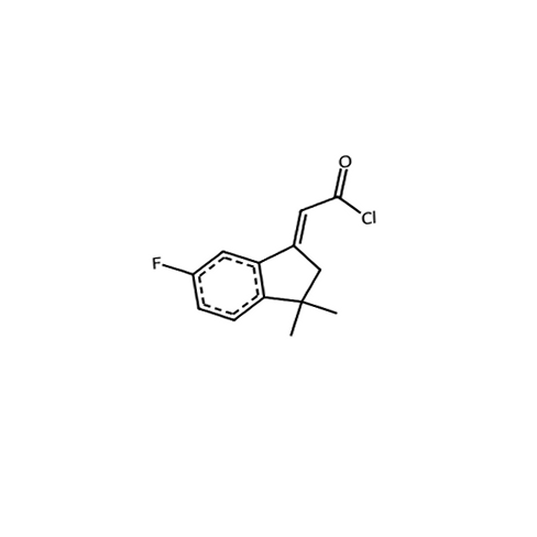 CC1(C)C/C(=C\C(=O)Cl)c2cc(F)ccc21